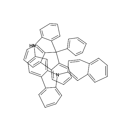 c1ccc(C2(c3ccccc3Nc3ccc4c5ccccc5n(-c5ccc6ccccc6c5)c4c3)c3ccccc3-c3ccccc32)cc1